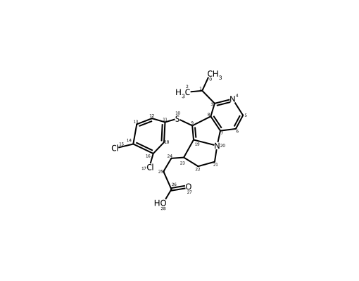 CC(C)c1nccc2c1c(Sc1ccc(Cl)c(Cl)c1)c1n2CCC1CCC(=O)O